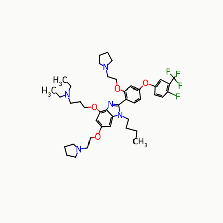 CCCCn1c(-c2ccc(Oc3ccc(F)c(C(F)(F)F)c3)cc2OCCN2CCCC2)nc2c(OCCCN(CC)CC)cc(OCCN3CCCC3)cc21